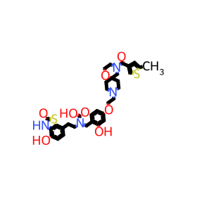 Cc1cc(C(=O)N2CCOC3(CCN(CCOc4ccc(CN(CCc5ccc(O)c6[nH]c(=O)sc56)C(=O)O)c(O)c4)CC3)C2)cs1